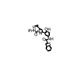 CC(C)NC(=O)n1nc(-c2cc(NC(=O)c3cc4ccccc4s3)ccc2O)cc1C1CC1